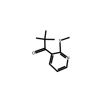 CSc1ncccc1C(=O)C(C)(C)C